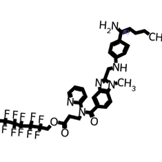 CCC/C=C(/N)c1ccc(NCc2nc3cc(C(=O)N(CCC(=O)OCC(F)(F)C(F)(F)C(F)(F)C(F)(F)C(F)(F)F)c4ccccn4)ccc3n2C)cc1